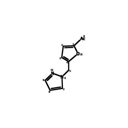 CC(=O)c1ccc(Cn2cccn2)o1